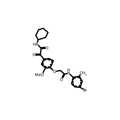 COc1cc(C(=O)C(=O)NC2CCCCC2)ccc1OCC(=O)Nc1ccc(Br)cc1C